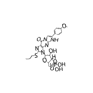 CCCSc1nc2c(=O)n3cc(-c4ccc(OC)cc4)[nH]c3nc2n1[C@@H]1OC2CO[PH](O)(O)O[C@H]2C1O